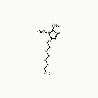 CCCCCCCCCCCCCCCCCN1C=CN(CCCCCCCCC)C1CCCCCCCCCC